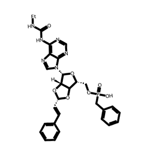 CCNC(=O)Nc1ncnc2c1ncn2[C@@H]1O[C@H](COP(=O)(O)Cc2ccccc2)C2O[C@H](/C=C/c3ccccc3)O[C@@H]21